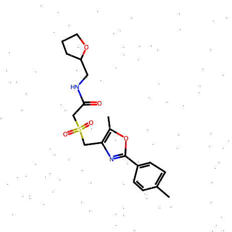 Cc1ccc(-c2nc(CS(=O)(=O)CC(=O)NCC3CCCO3)c(C)o2)cc1